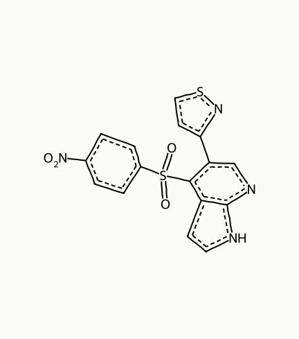 O=[N+]([O-])c1ccc(S(=O)(=O)c2c(-c3ccsn3)cnc3[nH]ccc23)cc1